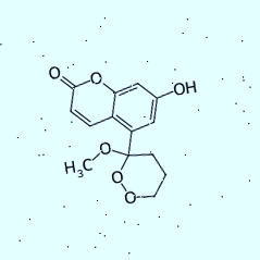 COC1(c2cc(O)cc3oc(=O)ccc23)CCCOO1